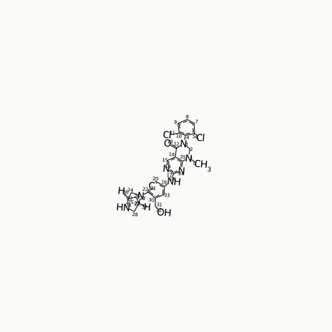 CN1CN(c2c(Cl)cccc2Cl)C(=O)c2cnc(Nc3ccc(N4C[C@@H]5C[C@H]4CN5)c(CO)c3)nc21